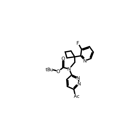 CC(=O)c1ccc(N(CC2(c3ncccc3F)CCC2)C(=O)OC(C)(C)C)nn1